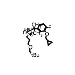 CC(C)(C)COCCCS(=O)(=O)NC(C)(C)c1ccc(F)c(OCC2CC2)c1